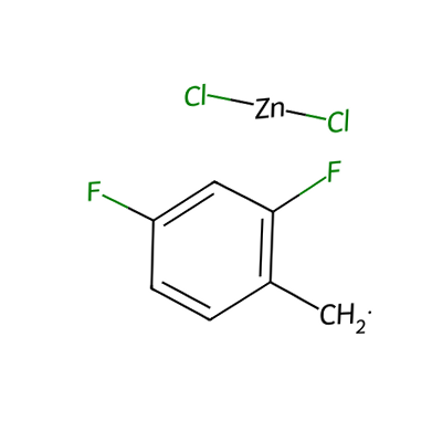 [CH2]c1ccc(F)cc1F.[Cl][Zn][Cl]